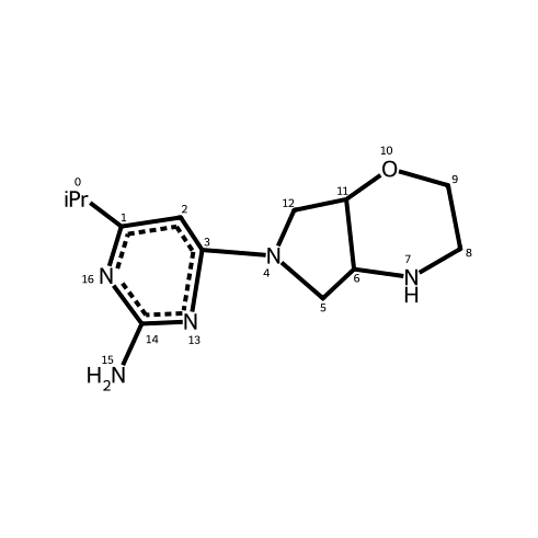 CC(C)c1cc(N2CC3NCCOC3C2)nc(N)n1